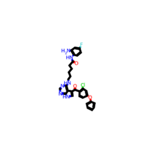 Nc1cc(F)ccc1NC(=O)CCCCCNc1ncnc2[nH]cc(C(=O)c3ccc(Oc4ccccc4)cc3Cl)c12